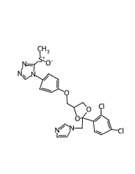 C[S+]([O-])c1nncn1-c1ccc(OCC2COC(Cn3ccnc3)(c3ccc(Cl)cc3Cl)O2)cc1